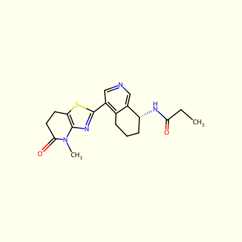 CCC(=O)N[C@@H]1CCCc2c(-c3nc4c(s3)CCC(=O)N4C)cncc21